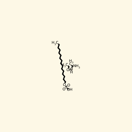 CCCCCCCCCCCCCCCCOS(=O)(=O)O.CCO.CCO.N